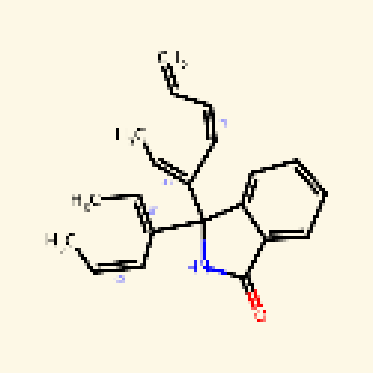 C=C/C=C\C(=C/C)C1(C(/C=C\C)=C/C)NC(=O)c2ccccc21